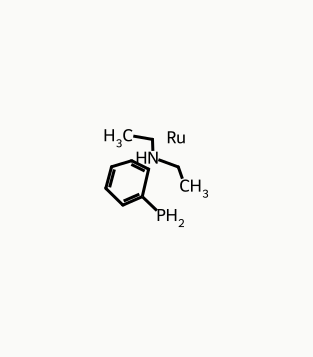 CCNCC.Pc1ccccc1.[Ru]